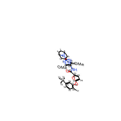 COc1nc(N2C3CCC2CC(N(C)C)C3)nc(OC)c1NC(=O)c1ccc(Oc2cc([Si](C)(C)C)ccc2C)o1